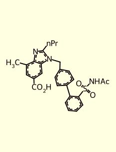 CCCc1nc2c(C)cc(C(=O)O)cc2n1Cc1ccc(-c2ccccc2S(=O)(=O)NC(C)=O)cc1